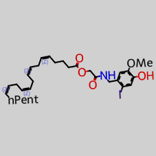 CCCCC/C=C\C/C=C\C/C=C\C/C=C\CCCC(=O)OCC(=O)NCc1cc(OC)c(O)cc1I